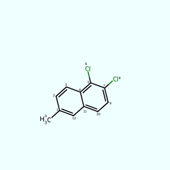 Cc1ccc2c(Cl)c(Cl)ccc2c1